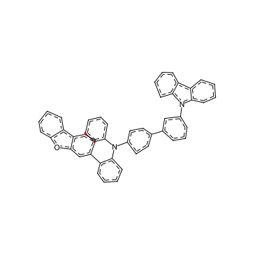 c1ccc(N(c2ccc(-c3cccc(-n4c5ccccc5c5ccccc54)c3)cc2)c2ccccc2-c2ccc3c(c2)oc2ccccc23)cc1